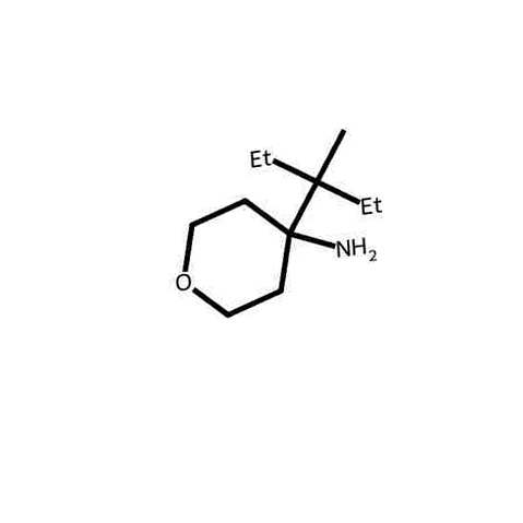 CCC(C)(CC)C1(N)CCOCC1